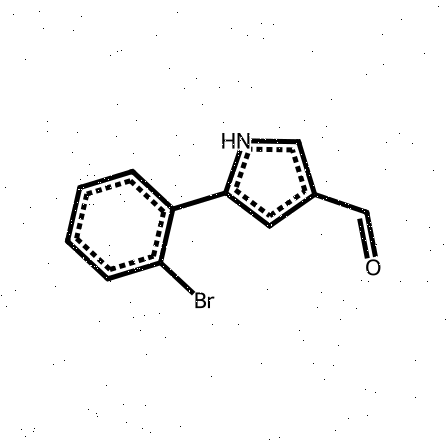 O=Cc1c[nH]c(-c2ccccc2Br)c1